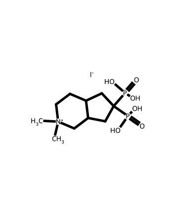 C[N+]1(C)CCC2CC(P(=O)(O)O)(P(=O)(O)O)CC2C1.[I-]